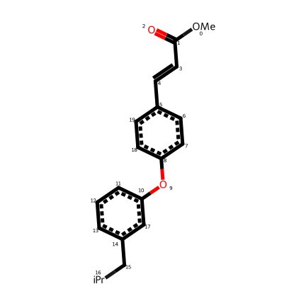 COC(=O)/C=C/c1ccc(Oc2cccc(CC(C)C)c2)cc1